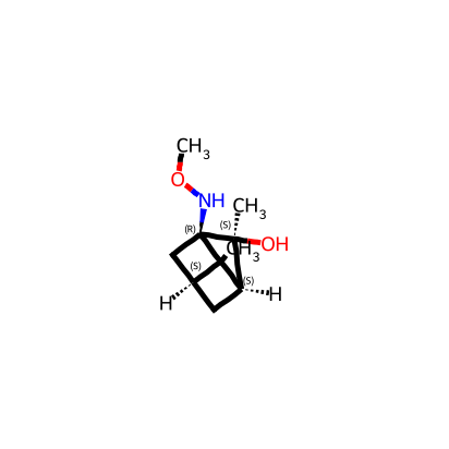 CON[C@]12C[C@@H]3C[C@@H](C31C)[C@]2(C)O